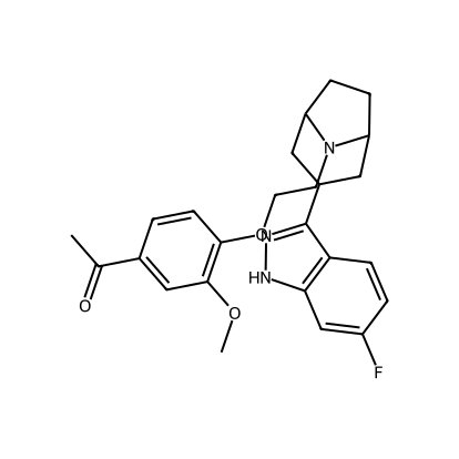 COc1cc(C(C)=O)ccc1OCCN1C2CCC1CC(c1n[nH]c3cc(F)ccc13)C2